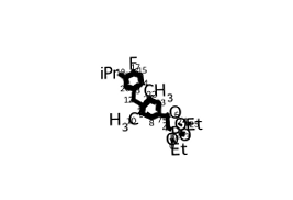 CCOP(=O)(CC(=O)c1cc(C)c(Cc2ccc(F)c(C(C)C)c2)c(C)c1)OCC